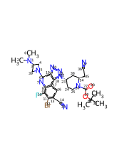 CN(C)C1CN(c2nc3c(F)c(Br)c(C#N)cc3c3c2nnn3[C@H]2CCN(C(=O)OC(C)(C)C)[C@H](CC#N)C2)C1